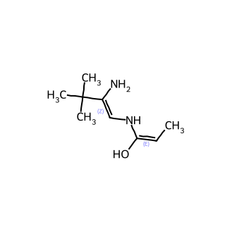 C/C=C(/O)N/C=C(\N)C(C)(C)C